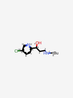 CC(C)(C)NCCC(O)c1ccc(Cl)cn1